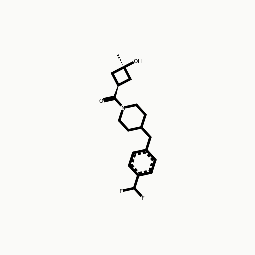 C[C@]1(O)C[C@@H](C(=O)N2CCC(Cc3ccc(C(F)F)cc3)CC2)C1